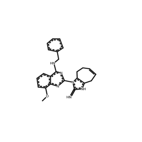 COc1cccc2c(NCc3ccccc3)nc(-n3c4c([nH]c3=N)CC=CCC4)nc12